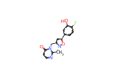 Cc1nccc(=O)n1Cc1cc(-c2ccc(F)c(O)c2)on1